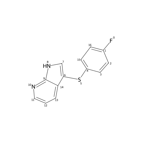 Fc1ccc(Sc2c[nH]c3ncccc23)cc1